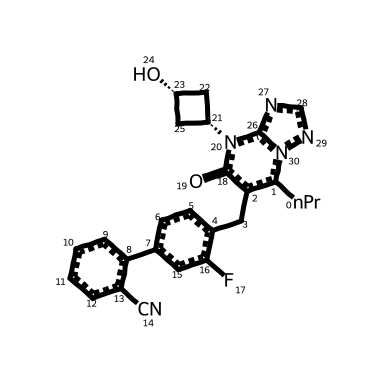 CCCc1c(Cc2ccc(-c3ccccc3C#N)cc2F)c(=O)n([C@H]2C[C@@H](O)C2)c2ncnn12